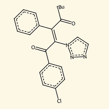 CC(C)(C)C(=O)C(=C(C(=O)c1ccc(Cl)cc1)n1ccnn1)c1ccccc1